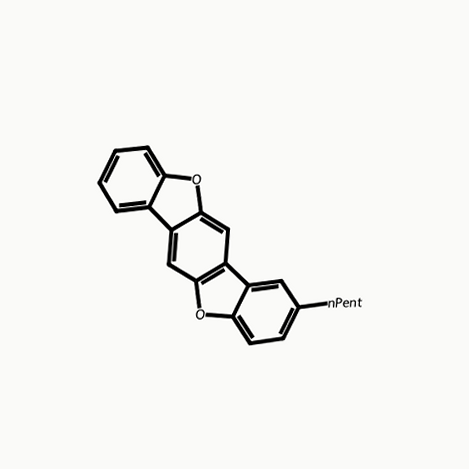 CCCCCc1ccc2oc3cc4c(cc3c2c1)oc1ccccc14